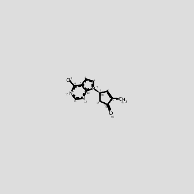 CC1=C[C@H](n2ccc3c(Cl)ncnc32)CC1=O